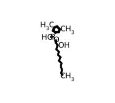 CCCCCCCCCCC(O)COB(O)c1cc(C)cc(C)c1